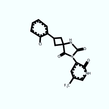 O=C1NC2(CC(c3ccccc3Cl)C2)C(=O)N1c1cc(C(F)(F)F)c[nH]c1=O